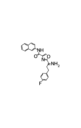 N[C@H](CCc1ccc(F)cc1)c1nc(C(=O)Nc2ccc3ccccc3c2)co1